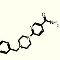 NC(=O)c1ccc(N2CCN(Cc3ccccc3)CC2)nc1